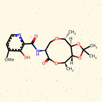 COc1ccnc(C(=O)N[C@H]2CO[C@H](C)[C@H]3OC(C)(C)O[C@@H]3[C@@H](C)OC2=O)c1O